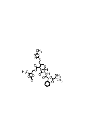 Cc1nnc(SCC2=C(C(=O)OCc3oc(=O)oc3C)N3C(=O)[C@@H](NC(=O)[C@H](OC(=O)[C@@H](C)N)c4ccccc4)[C@H]3SC2)s1